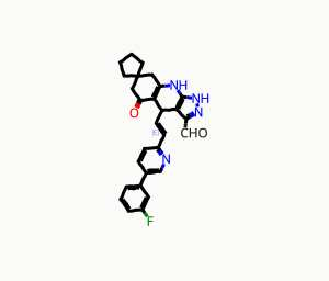 O=Cc1n[nH]c2c1C(/C=C/c1ccc(-c3cccc(F)c3)cn1)C1=C(CC3(CCCC3)CC1=O)N2